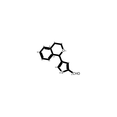 O=Cc1cc(C2OCCc3ccccc32)cs1